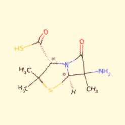 CC1(C)S[C@H]2N(C(=O)C2(C)N)[C@H]1C(=O)S